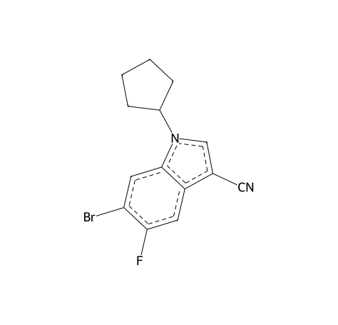 N#Cc1cn(C2CCCC2)c2cc(Br)c(F)cc12